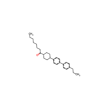 CCCCCCCC(=O)C1CCC(c2ccc(-c3ccc(CCC)cc3)cc2)CC1